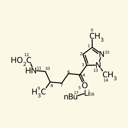 Cc1cc(C(=O)CCC(C)CNC(=O)O)n(C)n1.[Li][CH2]CCC